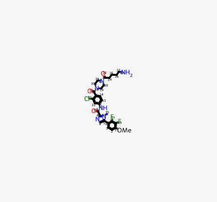 COc1ccc(-c2cnc(C(=O)Nc3ccc(C(=O)N4CCN(C(=O)CCCCN)CC4)c(Cl)c3)n2C)c(F)c1F